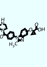 Cc1nc2cc(OC3(C(=O)O)CC3)ccc2n1-c1ccc(C(=O)N2CCNCC2)cc1